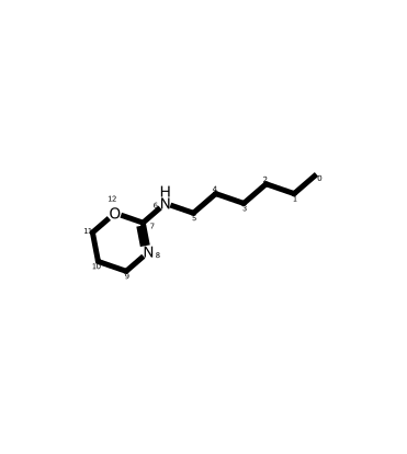 CCCCCCNC1=NCCCO1